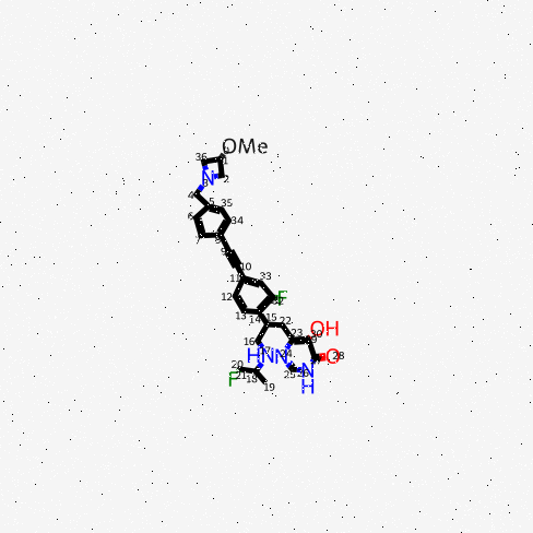 COC1CN(Cc2ccc(C#Cc3ccc(C(CNC(C)CF)Cc4nc[nH]c(=O)c4O)c(F)c3)cc2)C1